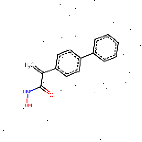 C=C(C(=O)NO)c1ccc(-c2ccccc2)cc1